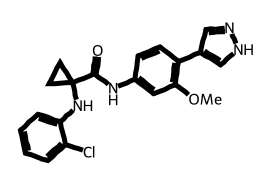 COc1cc(NC(=O)C2(Nc3ccccc3Cl)CC2)ccc1-c1cn[nH]c1